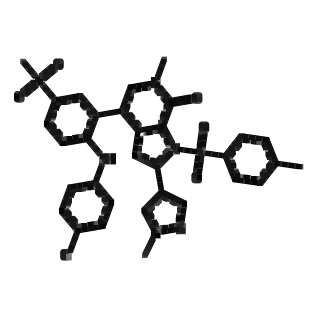 Cc1ccc(S(=O)(=O)n2c(-c3cnn(C)c3)cc3c(-c4cc(S(C)(=O)=O)ccc4Nc4ccc(Cl)cc4)cn(C)c(=O)c32)cc1